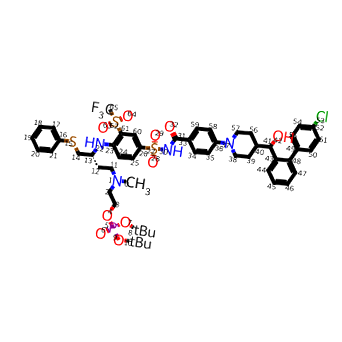 CN(CCOP(=O)(OC(C)(C)C)OC(C)(C)C)CC[C@H](CSc1ccccc1)Nc1ccc(S(=O)(=O)NC(=O)c2ccc(N3CCC(C(O)c4ccccc4-c4ccc(Cl)cc4)CC3)cc2)cc1S(=O)(=O)C(F)(F)F